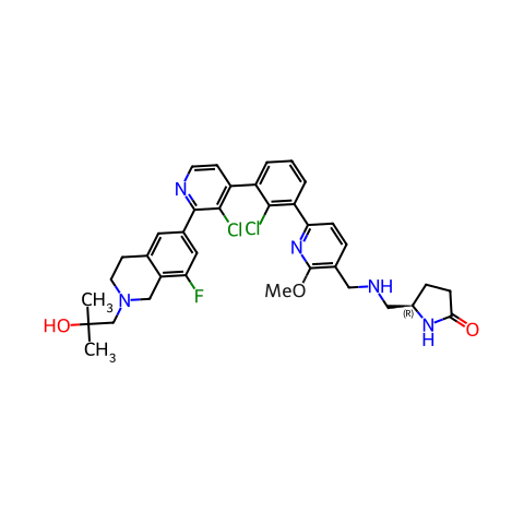 COc1nc(-c2cccc(-c3ccnc(-c4cc(F)c5c(c4)CCN(CC(C)(C)O)C5)c3Cl)c2Cl)ccc1CNC[C@H]1CCC(=O)N1